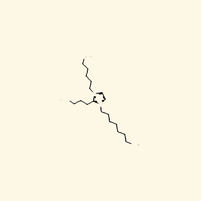 CCCCCCCCCCCCCCCCC[n+]1ccn(CCCCCCCCCCCCCCC)c1CCCCCCCCCCCCC